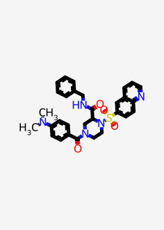 CN(C)c1ccc(C(=O)N2CCN(S(=O)(=O)c3ccc4ncccc4c3)C(C(=O)NCc3ccccc3)C2)cc1